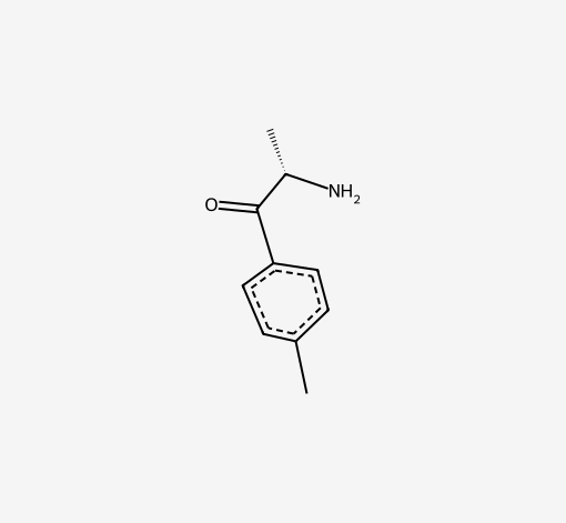 Cc1ccc(C(=O)[C@H](C)N)cc1